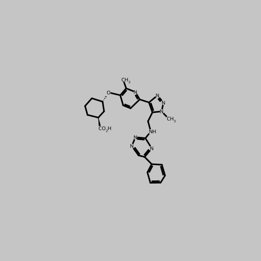 Cc1nc(-c2nnn(C)c2CNc2nncc(-c3ccccc3)n2)ccc1O[C@H]1CCC[C@H](C(=O)O)C1